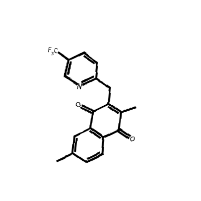 CC1=C(Cc2ccc(C(F)(F)F)cn2)C(=O)c2cc(C)ccc2C1=O